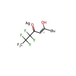 CC(C)(C)/C(O)=C/C(=O)C(F)(F)C(F)(F)C(F)(F)F.[Ag]